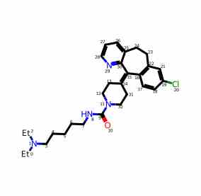 CCN(CC)CCCCCNC(=O)N1CCC(=C2c3ccc(Cl)cc3CCc3cccnc32)CC1